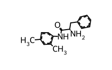 Cc1ccc(NC(=O)[C@@H](N)Cc2ccccc2)c(C)c1